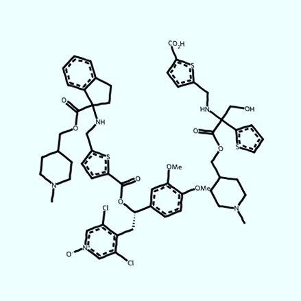 CN1CCC(COC(=O)C(CO)(NCc2ccc(C(=O)O)s2)c2cccs2)CC1.COc1ccc([C@H](Cc2c(Cl)c[n+]([O-])cc2Cl)OC(=O)c2ccc(CNC3(C(=O)OCC4CCN(C)CC4)CCc4ccccc43)s2)cc1OC